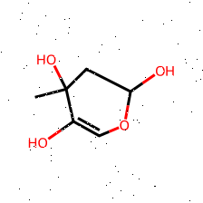 CC1(O)CC(O)OC=C1O